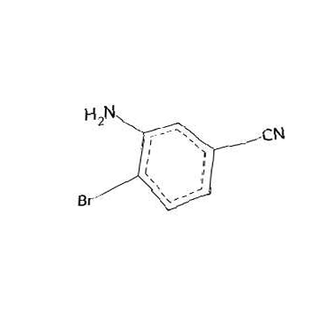 N#Cc1ccc(Br)c(N)c1